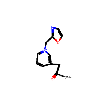 COC(=O)Cc1ccc[n+](Cc2ncco2)c1